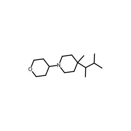 CC(C)C(C)C1(C)CCN(C2CCOCC2)CC1